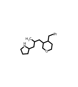 CC(C)CC1CCOCC1CC(C)CC1CCCN1